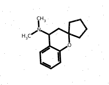 CN(C)C1CC2(CCCC2)Oc2ccccc21